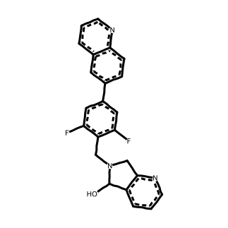 OC1c2cccnc2CN1Cc1c(F)cc(-c2ccc3ncccc3c2)cc1F